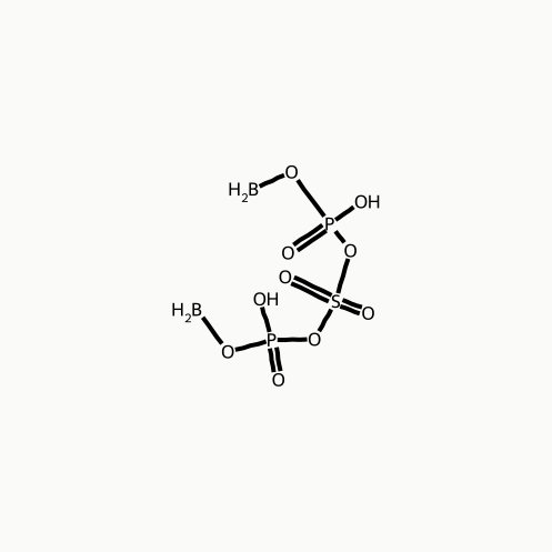 BOP(=O)(O)OS(=O)(=O)OP(=O)(O)OB